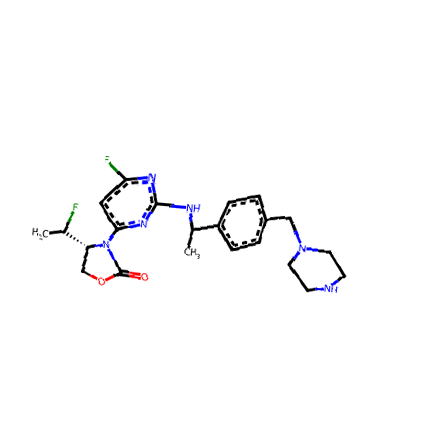 CC(Nc1nc(F)cc(N2C(=O)OC[C@@H]2C(C)F)n1)c1ccc(CN2CCNCC2)cc1